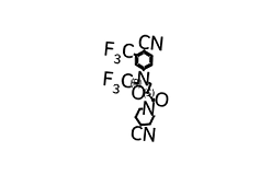 N#Cc1ccc(N2C[C@@H](C(=O)N3CCC(C#N)CC3)O[C@@H]2C(F)(F)F)cc1C(F)(F)F